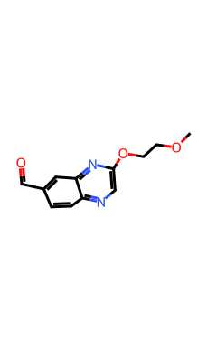 COCCOc1cnc2ccc(C=O)cc2n1